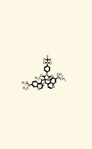 CC(c1ccnc2cc(N(C)C)ccc12)C1(C(C)c2ccnc3cc(N(C)C)ccc23)NC(=O)N(c2ccc(S(=O)(=O)C(F)(F)F)cc2)C1=O